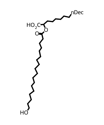 CCCCCCCCCCCCCCCCC(OC(=O)CCCCCCCCCCCCCCCCCO)C(=O)O